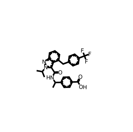 CC(NC(=O)c1c2c(Cc3ccc(C(F)(F)F)cc3)cccc2nn1C(C)C)c1ccc(C(=O)O)cc1